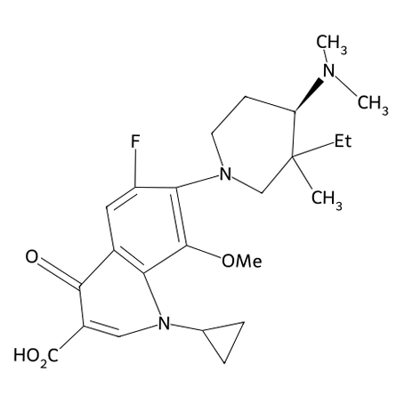 CCC1(C)CN(c2c(F)cc3c(=O)c(C(=O)O)cn(C4CC4)c3c2OC)CC[C@H]1N(C)C